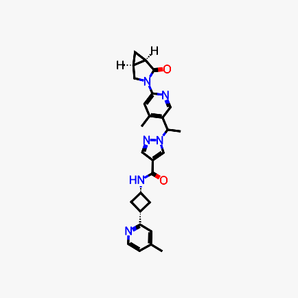 Cc1ccnc([C@H]2C[C@@H](NC(=O)c3cnn(C(C)c4cnc(N5C[C@H]6C[C@H]6C5=O)cc4C)c3)C2)c1